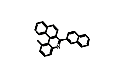 Cc1cccc2nc(-c3ccc4ccccc4c3)c3ccc4ccccc4c3c12